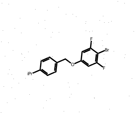 CC(C)c1ccc(COc2cc(F)c(Br)c(F)c2)cc1